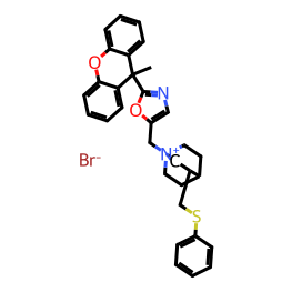 CC1(c2ncc(C[N+]34CCC(CC3)C(CSc3ccccc3)C4)o2)c2ccccc2Oc2ccccc21.[Br-]